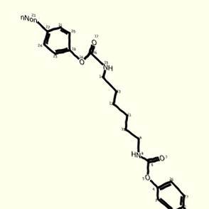 CCCCCCCCCc1ccc(OC(=O)NCCCCCCNC(=O)Oc2ccc(CCCCCCCCC)cc2)cc1